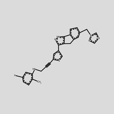 Cc1ccc(F)cc1NCC#Cc1cc(-c2n[nH]c3c2Cc2cc(Cn4cncn4)ccc2-3)cs1